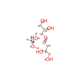 CO[SiH](C)OC.OCC(O)COOCC(O)CO